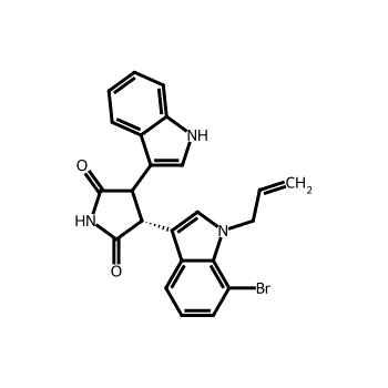 C=CCn1cc([C@@H]2C(=O)NC(=O)C2c2c[nH]c3ccccc23)c2cccc(Br)c21